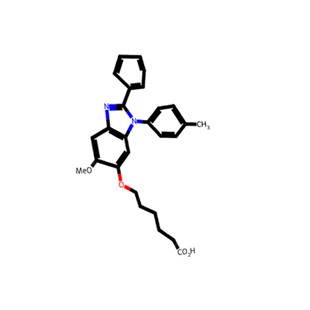 COc1cc2nc(-c3ccccc3)n(-c3ccc(C)cc3)c2cc1OCCCCCC(=O)O